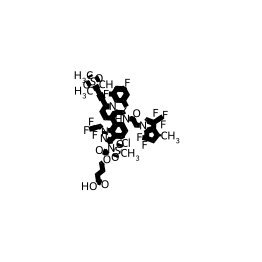 C[C@H]1CC(F)(F)c2c1c(C(F)(F)F)cn2CC(=O)N[C@@H](Cc1cc(F)cc(F)c1)c1nc(C#CC(C)(C)S(C)(=O)=O)ccc1-c1ccc(Cl)c2c(N(C(=O)OCCCC(=O)O)S(C)(=O)=O)nn(CC(F)(F)F)c12